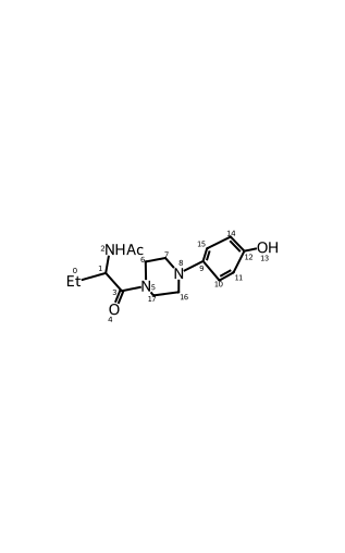 CCC(NC(C)=O)C(=O)N1CCN(c2ccc(O)cc2)CC1